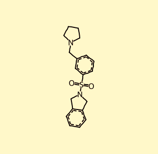 O=S(=O)(c1cccc(CN2CCCC2)c1)N1Cc2ccccc2C1